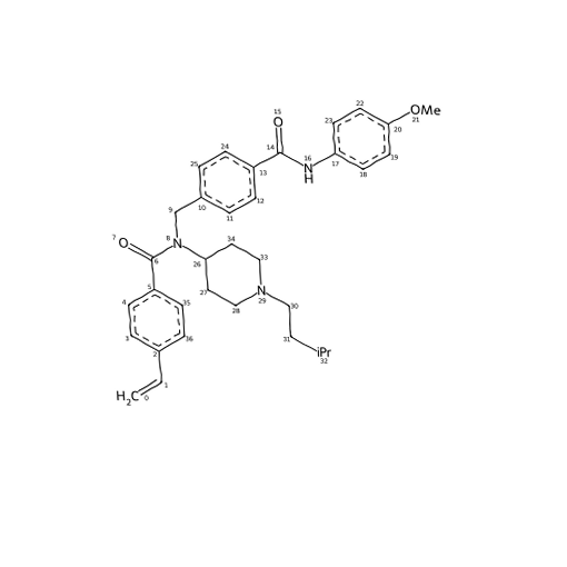 C=Cc1ccc(C(=O)N(Cc2ccc(C(=O)Nc3ccc(OC)cc3)cc2)C2CCN(CCC(C)C)CC2)cc1